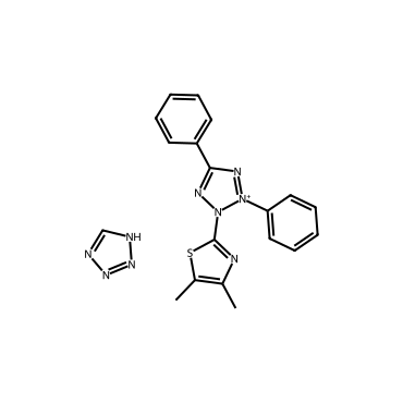 Cc1nc(-n2nc(-c3ccccc3)n[n+]2-c2ccccc2)sc1C.c1nnn[nH]1